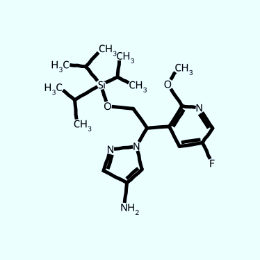 COc1ncc(F)cc1C(CO[Si](C(C)C)(C(C)C)C(C)C)n1cc(N)cn1